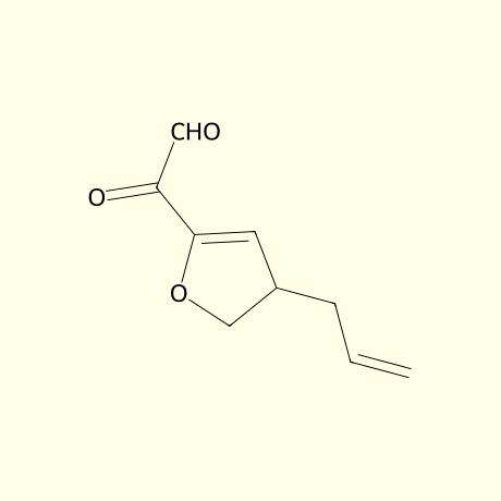 C=CCC1C=C(C(=O)C=O)OC1